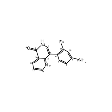 Nc1ccc(-c2c[nH]c(=O)c3cccnc23)c(F)c1